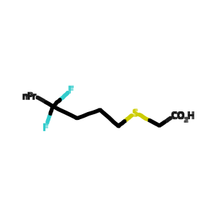 CCCC(F)(F)CCCSCC(=O)O